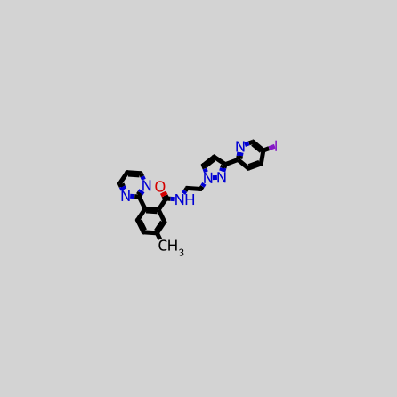 Cc1ccc(-c2ncccn2)c(C(=O)NCCn2ccc(-c3ccc(I)cn3)n2)c1